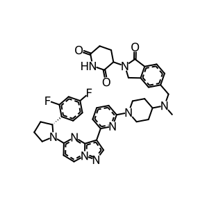 CN(Cc1ccc2c(c1)CN(C1CCC(=O)NC1=O)C2=O)C1CCN(c2cccc(-c3cnn4ccc(N5CCC[C@@H]5c5ccc(F)cc5F)nc34)n2)CC1